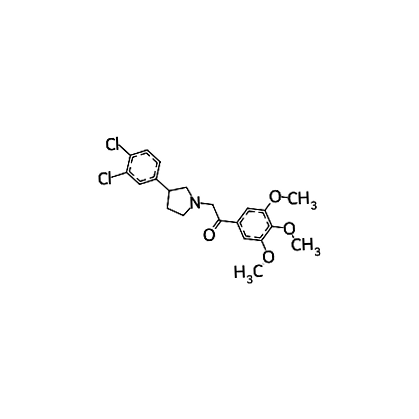 COc1cc(C(=O)CN2CCC(c3ccc(Cl)c(Cl)c3)C2)cc(OC)c1OC